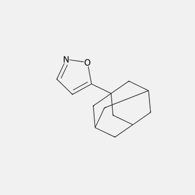 c1cc(C23CC4CC(CC(C4)C2)C3)on1